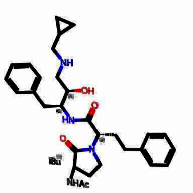 CC[C@H](C)C1(NC(C)=O)CCN([C@@H](CCc2ccccc2)C(=O)N[C@@H](Cc2ccccc2)[C@H](O)CNCC2CC2)C1=O